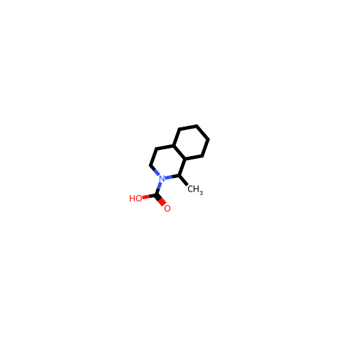 CC1C2CCCCC2CCN1C(=O)O